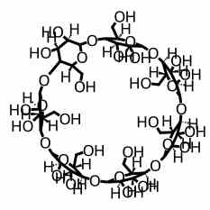 OC[C@H]1OC2OC3[C@@H](CO)OC(OC4[C@@H](CO)OC(O[C@H]5[C@H](O)[C@@H](O)C(O[C@H]6[C@H](O)[C@@H](O)C(O[C@H]7[C@H](O)[C@@H](O)C(O[C@H]8[C@H](O)[C@@H](O)C(OC1[C@H](O)[C@H]2O)O[C@@H]8CO)O[C@@H]7CO)O[C@@H]6CO)O[C@@H]5CO)[C@H](O)[C@H]4O)[C@H](O)[C@H]3O